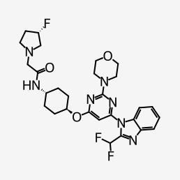 O=C(CN1CC[C@H](F)C1)N[C@H]1CC[C@H](Oc2cc(-n3c(C(F)F)nc4ccccc43)nc(N3CCOCC3)n2)CC1